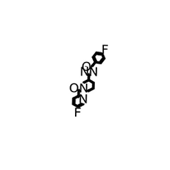 O=C(c1ccc(F)cn1)N1CCCC(c2noc(-c3ccc(F)cc3)n2)C1